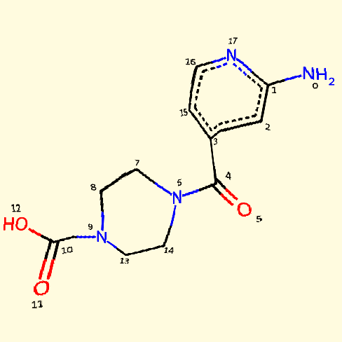 Nc1cc(C(=O)N2CCN(C(=O)O)CC2)ccn1